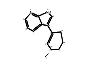 C[C@@H]1C=C(c2c[nH]c3ncccc23)CCC1